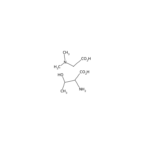 CC(O)C(N)C(=O)O.CN(C)CC(=O)O